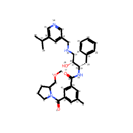 COCC1CCCN1C(=O)c1cc(C)cc(C(=O)N[C@@H](Cc2ccccc2)[C@H](O)CNCc2cncc(C(C)C)c2)c1